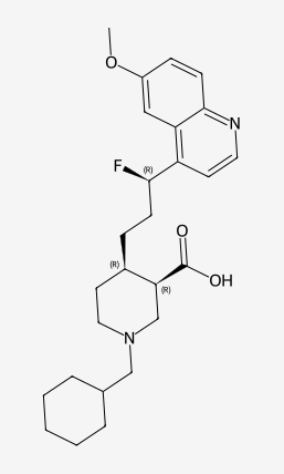 COc1ccc2nccc([C@H](F)CC[C@@H]3CCN(CC4CCCCC4)C[C@@H]3C(=O)O)c2c1